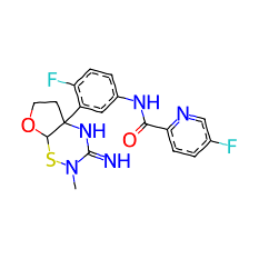 CN1SC2OCCC2(c2cc(NC(=O)c3ccc(F)cn3)ccc2F)NC1=N